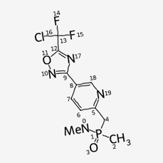 CNP(C)(=O)Cc1ccc(-c2noc(C(F)(F)Cl)n2)cn1